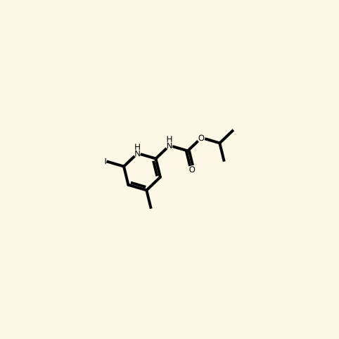 CC1=CC(I)NC(NC(=O)OC(C)C)=C1